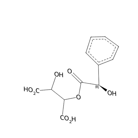 O=C(O)C(O)C(OC(=O)[C@H](O)c1ccccc1)C(=O)O